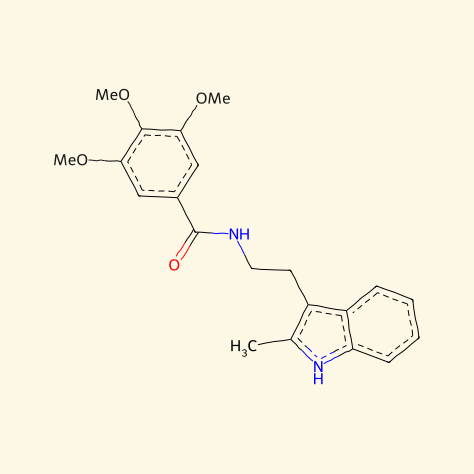 COc1cc(C(=O)NCCc2c(C)[nH]c3ccccc23)cc(OC)c1OC